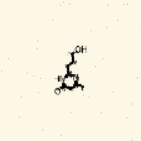 Cc1cc(=O)[nH]c(CCCO)n1